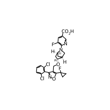 O=C(O)c1cnc(N2C[C@@H]3C[C@H]2C[C@H]3OCc2c(-c3c(Cl)cccc3Cl)noc2C2(F)CC2)c(F)c1